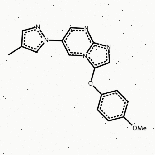 COc1ccc(Oc2cnc3ncc(-n4cc(C)cn4)cn23)cc1